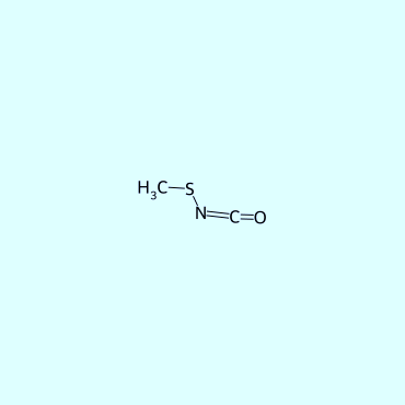 CSN=C=O